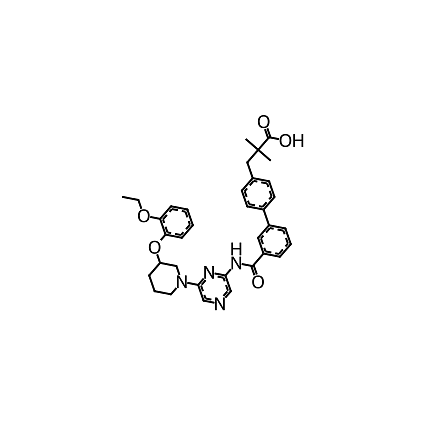 CCOc1ccccc1OC1CCCN(c2cncc(NC(=O)c3cccc(-c4ccc(CC(C)(C)C(=O)O)cc4)c3)n2)C1